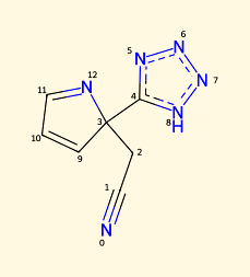 N#CCC1(c2nnn[nH]2)C=CC=N1